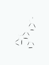 Cn1c2ccccc2c2c(-c3ccccc3)cc(-c3cccc(CN)c3)cc21